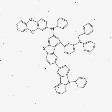 C1=CCC(n2c3ccccc3c3cc(-c4ccc5sc6cc(N(c7ccccc7)c7ccc8c(c7)Oc7ccccc7O8)cc(-c7cccc(N(Cc8ccccc8)c8ccccc8)c7)c6c5c4)ccc32)C=C1